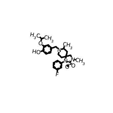 CC(C)Oc1cc(CN2CCC3(CC2C)CN(C)S(=O)(=O)N3c2cccc(F)c2)ccc1O